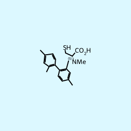 CN[C@H](CS)C(=O)O.Cc1ccc(-c2ccc(C)cc2C)c(C)c1